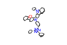 c1ccc(-c2nc(-c3ccccc3)nc(-c3cccc(-n4c5cc6c7ccccc7n(-c7ccccc7)c6cc5c5c6oc7ccccc7c6ccc54)c3)n2)cc1